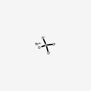 [O-][Si]([O-])([O-])[O-].[Th+4]